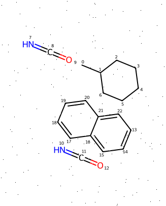 CC1CCCCC1.N=C=O.N=C=O.c1ccc2ccccc2c1